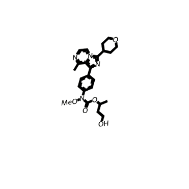 CON(C(=O)OC(C)CCO)c1ccc(-c2nc(C3CCOCC3)n3ccnc(C)c23)cc1